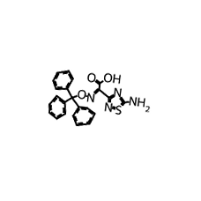 Nc1nc(/C(=N/OC(c2ccccc2)(c2ccccc2)c2ccccc2)C(=O)O)ns1